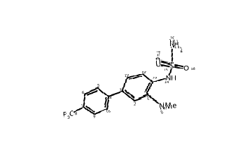 CNc1cc(-c2ccc(C(F)(F)F)cc2)ccc1NS(N)(=O)=O